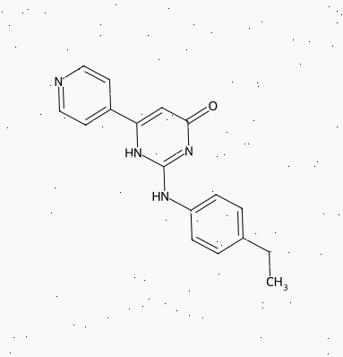 CCc1ccc(Nc2nc(=O)cc(-c3ccncc3)[nH]2)cc1